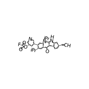 C#Cc1ccc2c(c1)[nH]c1c2c(=O)c2cc(C(C)C)c(-c3cncc(OS(=O)(=O)F)c3)cc2n1C(C)C